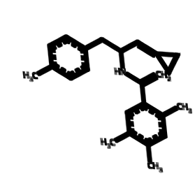 C=C(NC(C=C1CC1)Cc1ccc(C)cc1)c1cc(C)c(C)cc1C